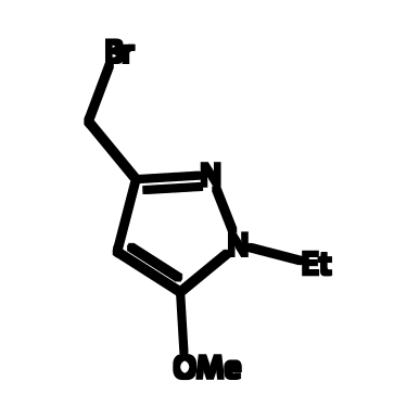 CCn1nc(CBr)cc1OC